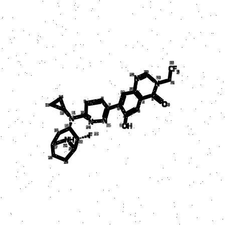 O=c1c2cc(O)c(-c3ccc(N(C4CC4)[C@H]4CC5CCC(N5)[C@H]4F)nn3)cc2ncn1CC(F)(F)F